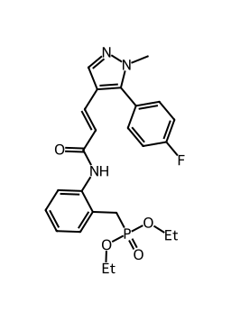 CCOP(=O)(Cc1ccccc1NC(=O)/C=C/c1cnn(C)c1-c1ccc(F)cc1)OCC